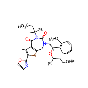 CCC(CCOC)O[C@@H](CN1Cc2sc(-c3ncco3)c(C)c2C(=O)N(C(C)(CC)CC(=O)O)C1=O)C1=C(OC)C=CC=CC1